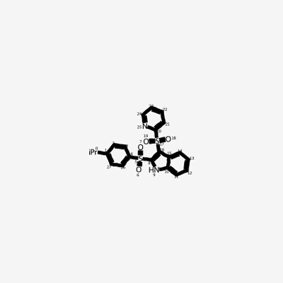 CC(C)c1ccc(S(=O)(=O)c2[nH]c3ccccc3c2S(=O)(=O)c2ccccn2)cc1